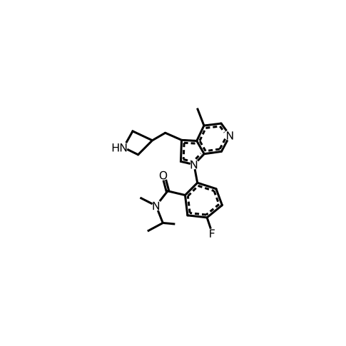 Cc1cncc2c1c(CC1CNC1)cn2-c1ccc(F)cc1C(=O)N(C)C(C)C